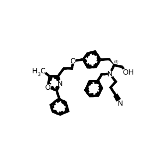 Cc1oc(-c2ccccc2)nc1CCOc1ccc(C[C@@H](CO)N(CCC#N)Cc2ccccc2)cc1